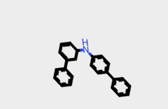 C1=CC(Nc2ccc(-c3ccccc3)cc2)CC(c2ccccc2)=C1